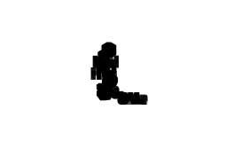 COCCOc1cccc(C)c1-c1ccnc(NC(=O)c2nnc(CC3=CC=CCC3)[nH]2)c1